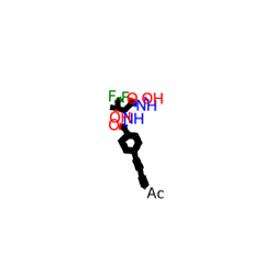 CC(=O)C#CC#Cc1ccc(C(=O)NC(C(=O)NO)C(C)(O)C(F)F)cc1